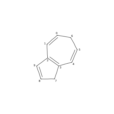 C1=CC2=C(C=CC1)CC=C2